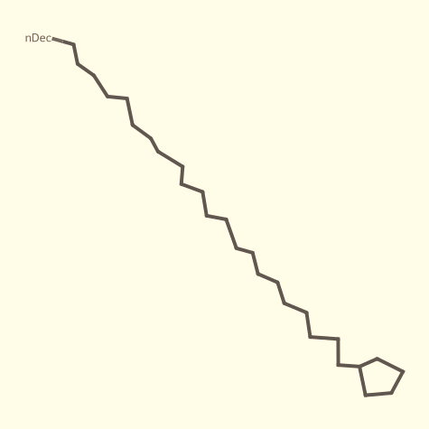 CCCCCCCCCCCCCCCCCCCCCCCCCCCCCCCCC1CCCC1